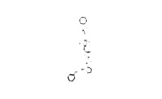 Cn1c(Cc2csc(NC(=O)[C@@H]3CCCN3C(=O)OCc3ccccc3)n2)nnc1SCC(=O)NC1CCCCC1